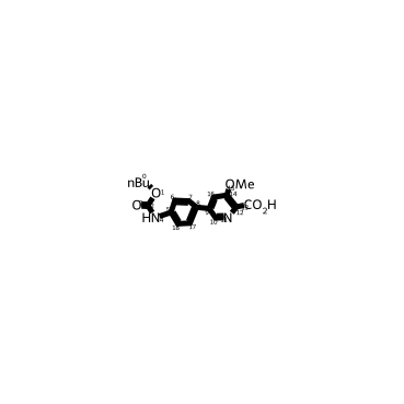 CCCCOC(=O)Nc1ccc(-c2cnc(C(=O)O)c(OC)c2)cc1